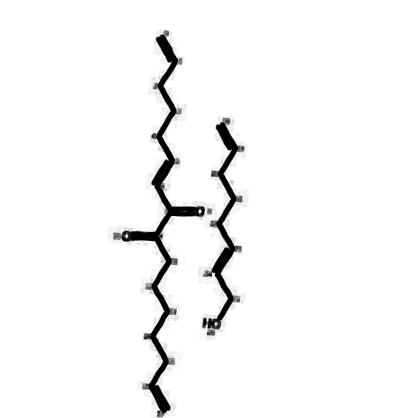 C=CCCCC=CC(=O)C(=O)CCCCCC=C.C=CCCCC=CCO